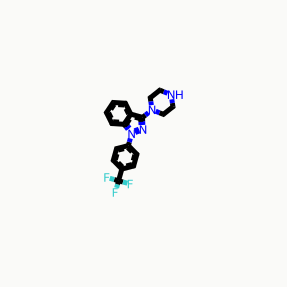 FC(F)(F)c1ccc(-n2nc(N3CCNCC3)c3ccccc32)cc1